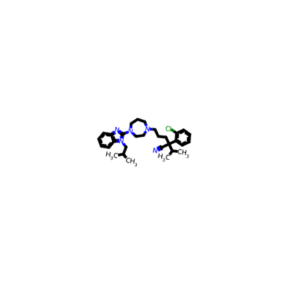 CC(C)Cn1c(N2CCCN(CCCC(C#N)(c3ccccc3Cl)C(C)C)CC2)nc2ccccc21